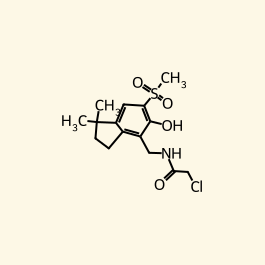 CC1(C)CCc2c1cc(S(C)(=O)=O)c(O)c2CNC(=O)CCl